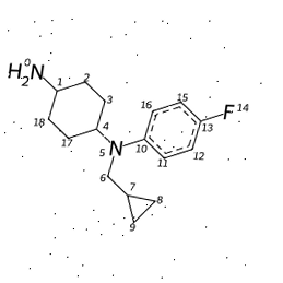 NC1CCC(N(CC2CC2)c2ccc(F)cc2)CC1